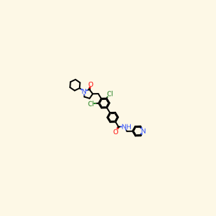 O=C(NCc1ccncc1)c1ccc(-c2cc(Cl)c(CC3CCN(C4CCCCC4)C3=O)c(Cl)c2)cc1